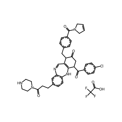 O=C(O)C(F)(F)F.O=C1CC(C(=O)c2ccc(Cl)cc2)C2=C(C=Nc3cc(CCC(=O)N4CCNCC4)ccc3N2)C1Cc1ccc(C(=O)N2CC=CC2)cc1